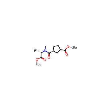 CC(C)[C@@H](C(=O)OC(C)(C)C)N(C)C(=O)[C@H]1CCC(C(=O)OC(C)(C)C)C1